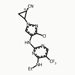 CCNc1nc(Nc2cn(C3C[C@H]3C#N)nc2Cl)ncc1C(F)(F)F